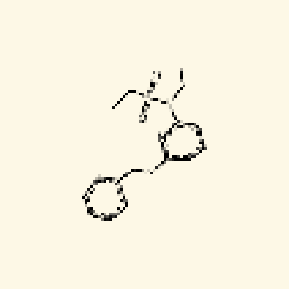 CCN(c1cccc(SCc2ccccc2)n1)S(=O)(=O)CC